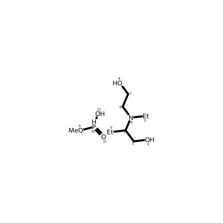 CCC(CO)N(CC)CCO.CO[PH](=O)O